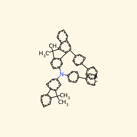 CC1(C)c2ccccc2-c2ccc(N(c3ccc(-c4ccccc4)cc3)c3ccc4c(c3)-c3c(-c5ccc(-c6ccccc6)cc5)cc5ccccc5c3C4(C)C)cc21